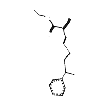 C=C(CCCCC(C)c1ccccc1)C(=O)OCC